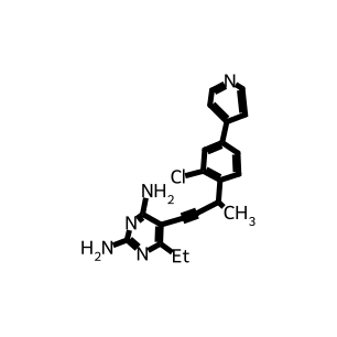 CCc1nc(N)nc(N)c1C#CC(C)c1ccc(-c2ccncc2)cc1Cl